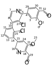 COc1cc(-c2nccc(-c3cccc(-c4cnc(C=O)c(OC)c4)c3Cl)c2Cl)ccc1C=O